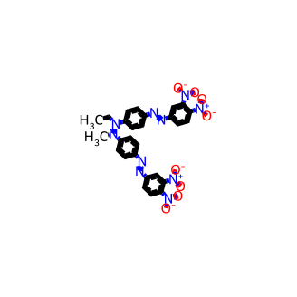 CCN(c1ccc(N=Nc2ccc([N+](=O)[O-])c([N+](=O)[O-])c2)cc1)N(C)c1ccc(N=Nc2ccc([N+](=O)[O-])c([N+](=O)[O-])c2)cc1